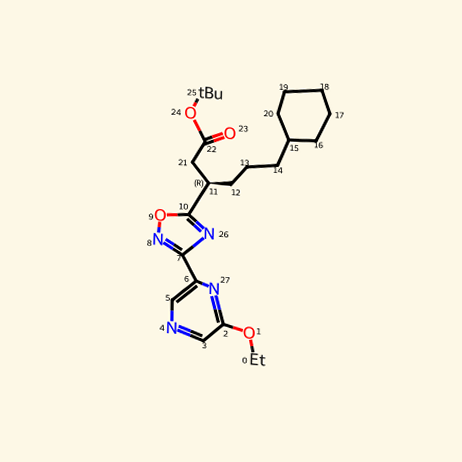 CCOc1cncc(-c2noc([C@H](CCCC3CCCCC3)CC(=O)OC(C)(C)C)n2)n1